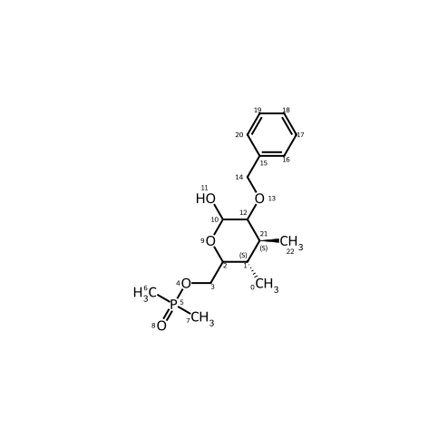 C[C@@H]1C(COP(C)(C)=O)OC(O)C(OCc2ccccc2)[C@H]1C